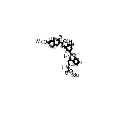 COc1cc2[nH]c(=O)c(C(=O)Nc3cc(C(=O)NC(CCNC(=O)OC(C)(C)C)c4ccccc4)ccc3C)cc2cn1